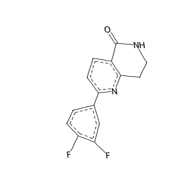 O=C1NCCc2nc(-c3ccc(F)c(F)c3)ccc21